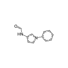 O=CNc1ccn(-c2ccccc2)c1